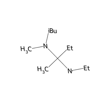 CC[N]C(C)(CC)N(C)C(C)CC